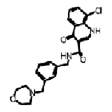 O=C(NCc1cccc(CN2CCOCC2)c1)c1c[nH]c2c(Cl)cccc2c1=O